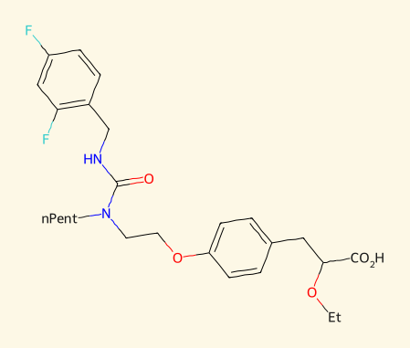 CCCCCN(CCOc1ccc(CC(OCC)C(=O)O)cc1)C(=O)NCc1ccc(F)cc1F